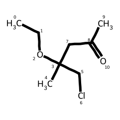 CCOC(C)(CCl)CC(C)=O